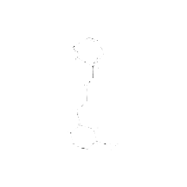 O=CC1COCC(OCCCc2ccccc2)O1